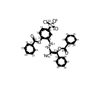 N#CC(N=Nc1cc(S(=O)(=O)Cl)ccc1OC(=O)c1ccccc1)=C(OC(=O)c1ccccc1)c1ccccc1